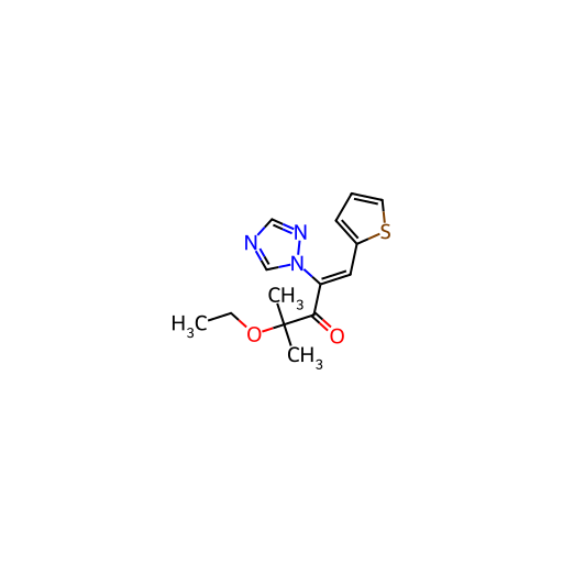 CCOC(C)(C)C(=O)C(=Cc1cccs1)n1cncn1